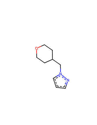 c1cnn(CC2CCOCC2)c1